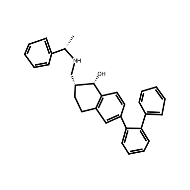 C[C@H](NC[C@H]1CCc2cc(-c3ccccc3-c3ccccc3)ccc2[C@H]1O)c1ccccc1